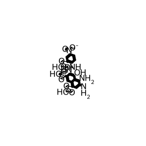 Nc1cc(S(=O)(=O)O)c2cc(S(=O)(=O)O)c(NNc3ccc([N+](=O)[O-])cc3S(=O)(=O)O)c(O)c2c1N